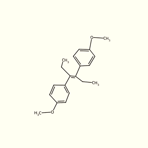 CC/C(=C(/CC)c1ccc(OC)cc1)c1ccc(OC)cc1